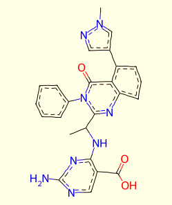 CC(Nc1nc(N)ncc1C(=O)O)c1nc2cccc(-c3cnn(C)c3)c2c(=O)n1-c1ccccc1